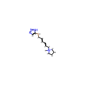 C[N+]1(CC=C/[C]=C/CSc2cnn[nH]2)CCCC1